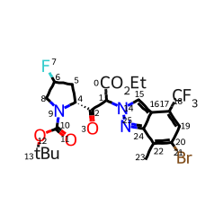 CCOC(=O)C(C(=O)[C@H]1CC(F)CN1C(=O)OC(C)(C)C)n1cc2c(C(F)(F)F)cc(Br)c(C)c2n1